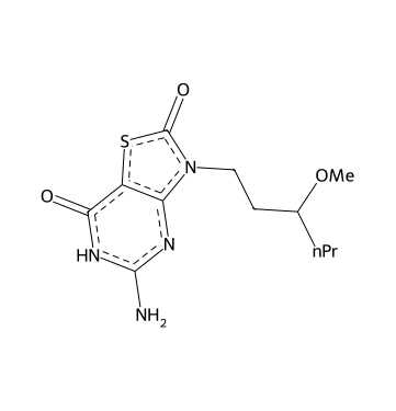 CCCC(CCn1c(=O)sc2c(=O)[nH]c(N)nc21)OC